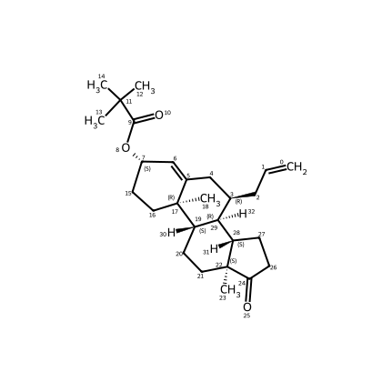 C=CC[C@@H]1CC2=C[C@@H](OC(=O)C(C)(C)C)CC[C@]2(C)[C@H]2CC[C@]3(C)C(=O)CC[C@H]3[C@H]12